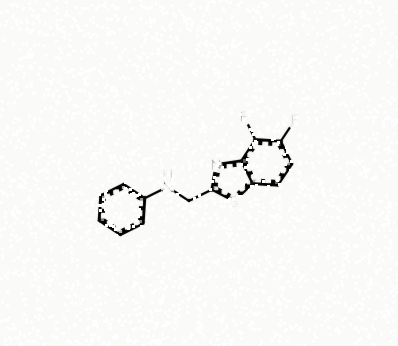 Fc1ccc2sc(CNc3ccccc3)nc2c1F